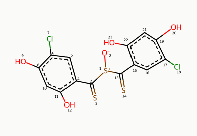 [O-][S+](C(=S)c1cc(Cl)c(O)cc1O)C(=S)c1cc(Cl)c(O)cc1O